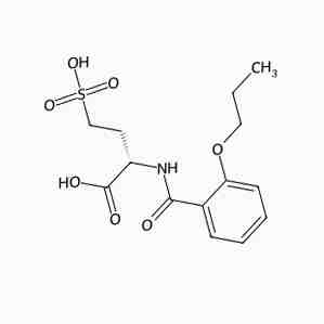 CCCOc1ccccc1C(=O)N[C@@H](CCS(=O)(=O)O)C(=O)O